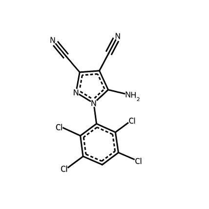 N#Cc1nn(-c2c(Cl)c(Cl)cc(Cl)c2Cl)c(N)c1C#N